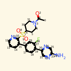 CC(=O)N1CCC(S(=O)(=O)c2ncccc2-c2ccc(-c3cnc(N)cn3)c(F)c2)CC1